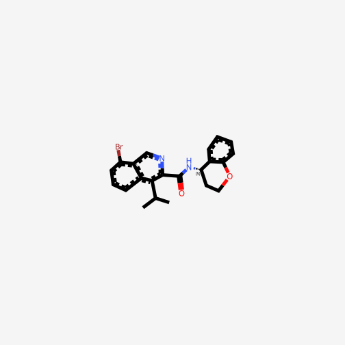 CC(C)c1c(C(=O)N[C@H]2CCOc3ccccc32)ncc2c(Br)cccc12